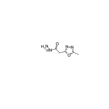 Cc1nnc(CC(=O)NN)o1